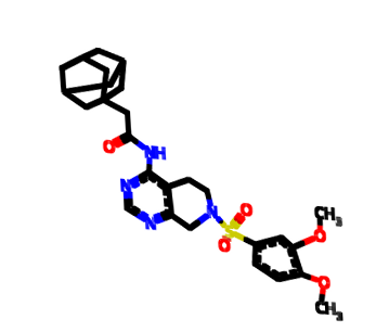 COc1ccc(S(=O)(=O)N2CCc3c(ncnc3NC(=O)CC34CC5CC(CC(C5)C3)C4)C2)cc1OC